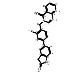 O=C1Cc2cc(-c3ccc(Cn4cnc5ncccc5c4=O)c(F)c3)ccc2N1